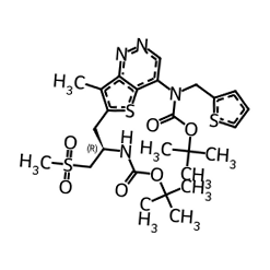 Cc1c(C[C@H](CS(C)(=O)=O)NC(=O)OC(C)(C)C)sc2c(N(Cc3cccs3)C(=O)OC(C)(C)C)cnnc12